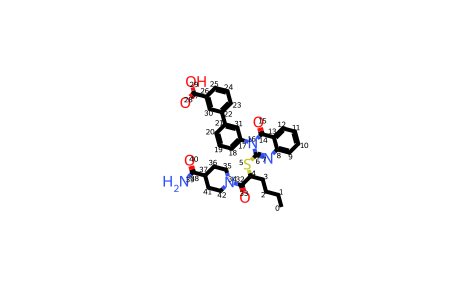 CCCCC(Sc1nc2ccccc2c(=O)n1-c1cccc(-c2cccc(C(=O)O)c2)c1)C(=O)N1CCC(C(N)=O)CC1